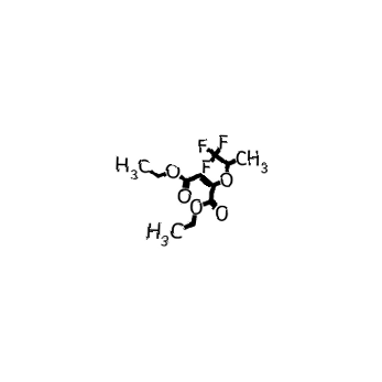 CCOC(=O)/C=C(/OC(C)C(F)(F)F)C(=O)OCC